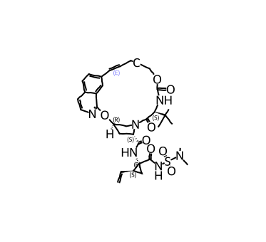 C=C[C@@H]1C[C@]1(NC(=O)[C@@H]1C[C@@H]2CN1C(=O)[C@H](C(C)(C)C)NC(=O)OCCC/C=C/c1ccc3ccnc(c3c1)O2)C(=O)NS(=O)(=O)N(C)C